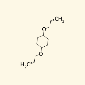 C=CCOC1CCC(OCC=C)CC1